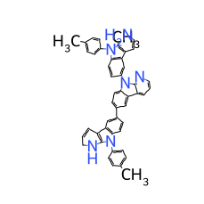 Cc1ccc(-n2c(C)c(/C=C\N)c3cc(-n4c5ccc(-c6ccc7c(c6)c6c(n7-c7ccc(C)cc7)NCC=C6)cc5c5cccnc54)ccc32)cc1